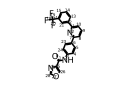 O=C(Nc1ccc(-c2cccc(-c3cccc(C(F)(F)F)c3)n2)cc1)c1cocn1